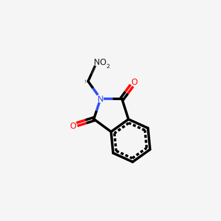 O=C1c2ccccc2C(=O)N1[C][N+](=O)[O-]